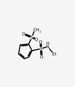 [CH2]CNS(=O)(=O)c1ccccc1S(C)(=O)=O